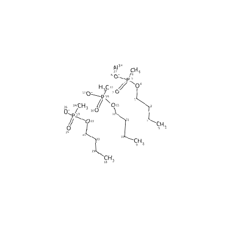 CCCCOP(C)(=O)[O-].CCCCOP(C)(=O)[O-].CCCCOP(C)(=O)[O-].[Al+3]